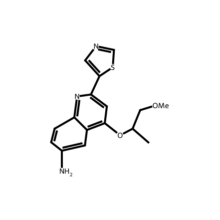 COCC(C)Oc1cc(-c2cncs2)nc2ccc(N)cc12